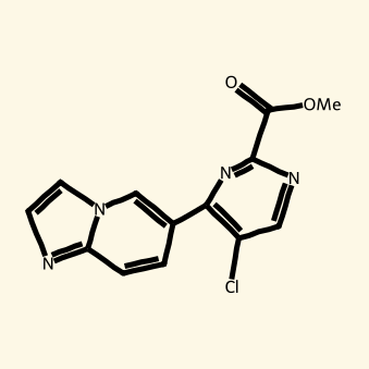 COC(=O)c1ncc(Cl)c(-c2ccc3nccn3c2)n1